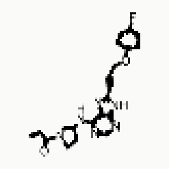 C=CC(=O)N1CCC(Nc2ncnc3[nH]c(C#CCOc4ccc(F)cc4)nc23)C1